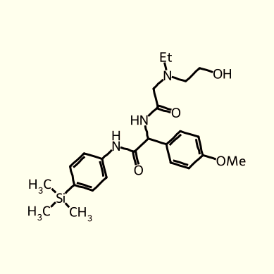 CCN(CCO)CC(=O)NC(C(=O)Nc1ccc([Si](C)(C)C)cc1)c1ccc(OC)cc1